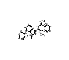 Cc1nc(C2=NS(=O)(=O)c3c2cccc3-c2cccnc2)c(C)c2ccccc12